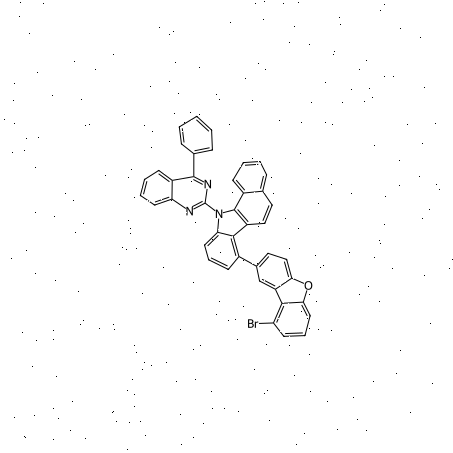 Brc1cccc2oc3ccc(-c4cccc5c4c4ccc6ccccc6c4n5-c4nc(-c5ccccc5)c5ccccc5n4)cc3c12